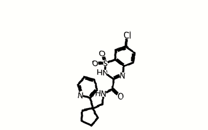 O=C(NCC1(c2ccccn2)CCCC1)C1=Nc2ccc(Cl)cc2S(=O)(=O)N1